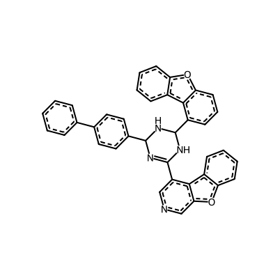 c1ccc(-c2ccc(C3N=C(c4cncc5oc6ccccc6c45)NC(c4cccc5oc6ccccc6c45)N3)cc2)cc1